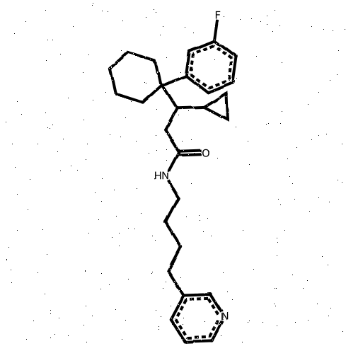 O=C(CC(C1CC1)C1(c2cccc(F)c2)CCCCC1)NCCCCc1cccnc1